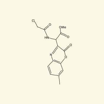 COC(=O)C(NC(=O)CCl)c1nc2ccc(C)cc2oc1=O